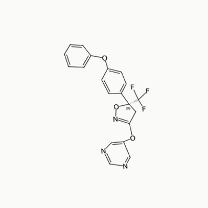 FC(F)(F)[C@]1(c2ccc(Oc3ccccc3)cc2)CC(Oc2cncnc2)=NO1